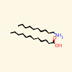 CCCCCCCCCCCC(=O)O.CCCCCCCCCCN